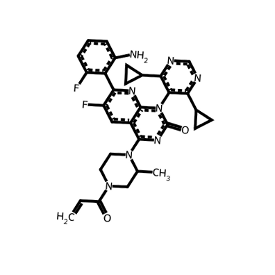 C=CC(=O)N1CCN(c2nc(=O)n(-c3c(C4CC4)ncnc3C3CC3)c3nc(-c4c(N)cccc4F)c(F)cc23)C(C)C1